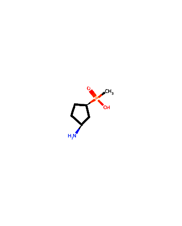 CP(=O)(O)[C@@H]1CC[C@H](N)C1